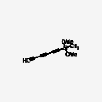 C#CC#CC#C[Si](C)(OC)OC